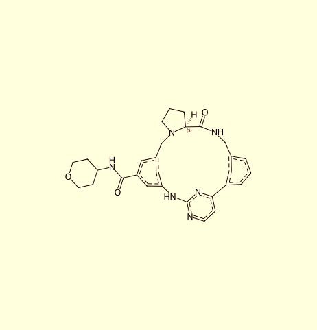 O=C(NC1CCOCC1)c1cc2cc(c1)Nc1nccc(n1)-c1cccc(c1)CNC(=O)[C@@H]1CCCN1C2